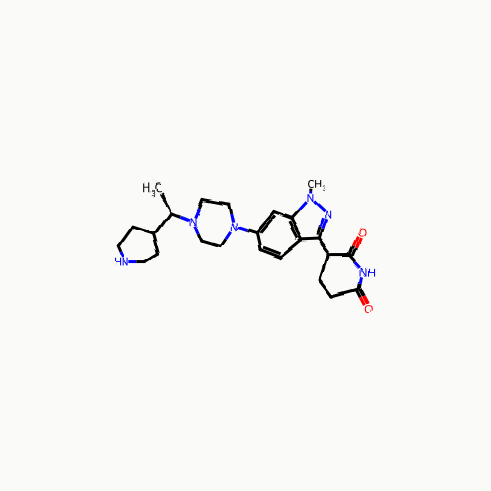 C[C@H](C1CCNCC1)N1CCN(c2ccc3c(C4CCC(=O)NC4=O)nn(C)c3c2)CC1